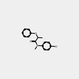 CC(Oc1ccccc1)C(=O)N(C)c1ccc(Cl)cc1